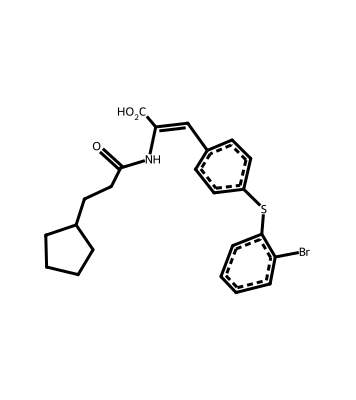 O=C(CCC1CCCC1)N/C(=C\c1ccc(Sc2ccccc2Br)cc1)C(=O)O